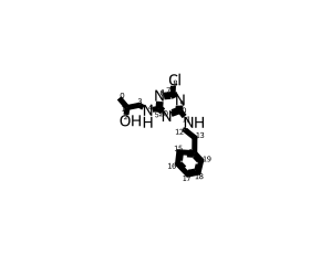 CC(O)CNc1nc(Cl)nc(NCCc2ccccc2)n1